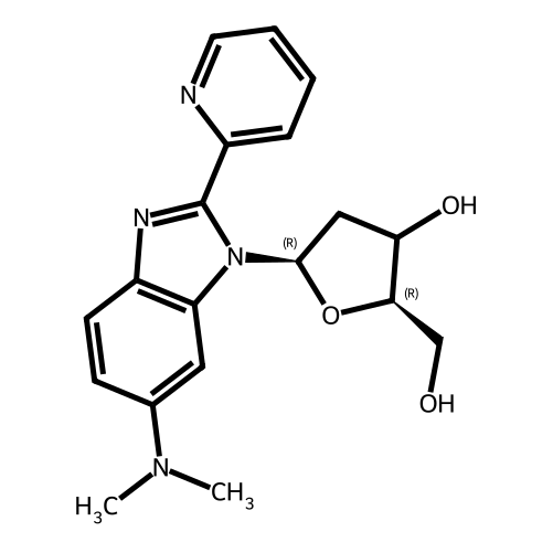 CN(C)c1ccc2nc(-c3ccccn3)n([C@H]3CC(O)[C@@H](CO)O3)c2c1